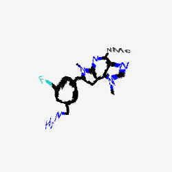 CNc1nc2c(cc(-c3cc(F)cc(CN)c3)n2C)c2c1ncn2C